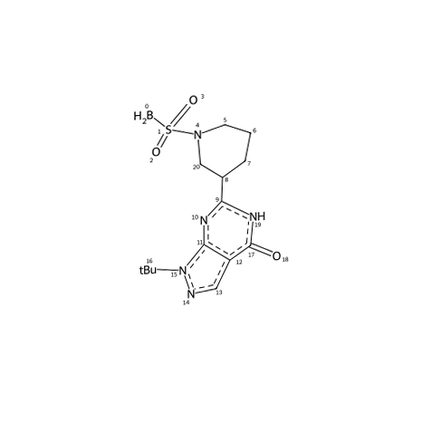 BS(=O)(=O)N1CCCC(c2nc3c(cnn3C(C)(C)C)c(=O)[nH]2)C1